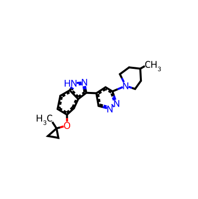 CC1CCN(c2cc(-c3n[nH]c4ccc(OC5(C)CC5)cc34)cnn2)CC1